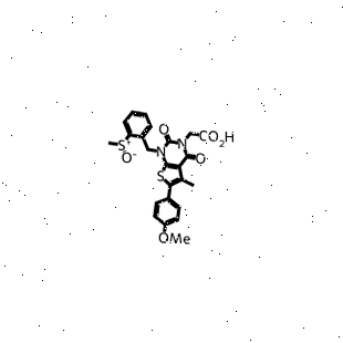 COc1ccc(-c2sc3c(c2C)c(=O)n(CC(=O)O)c(=O)n3Cc2ccccc2[S+](C)[O-])cc1